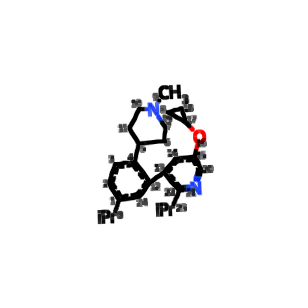 CC(C)c1ccc(C2CCN(C)CC2)c(-c2cc(OC3CC3)cnc2C(C)C)c1